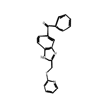 O=C(c1ccccc1)c1ccc2[nH]c(CSc3ccccn3)nc2c1